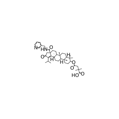 CC(C)C1=C2[C@H]3CC[C@@H]4[C@@]5(C)CC[C@H](OC(=O)CC(C)(C)C(=O)O)C(C)(C)[C@@H]5CC[C@@]4(C)[C@]3(C)CC[C@@]2(C(=O)NCc2cccnc2)CC1=O